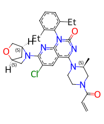 C=CC(=O)N1CCN(c2nc(=O)n(-c3c(CC)cccc3CC)c3nc(N4C[C@@H]5C[C@H]4CO5)c(Cl)cc23)[C@@H](C)C1